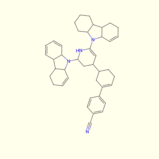 N#Cc1ccc(C2=CCCC(C3C=C(N4C5C=CCCC5C5CCCCC54)NC(N4C5C=CC=CC5C5CCC=CC54)C3)C2)cc1